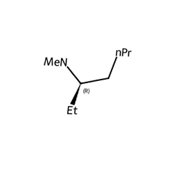 CCCC[C@@H](CC)NC